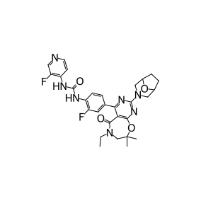 CCN1CC(C)(C)Oc2nc(N3CC4CCC(C3)O4)nc(-c3ccc(NC(=O)Nc4ccncc4F)c(F)c3)c2C1=O